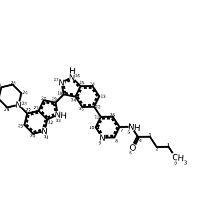 CCCCC(=O)Nc1cncc(-c2ccc3[nH]nc(-c4cc5c(N6CCCCC6)ccnc5[nH]4)c3c2)c1